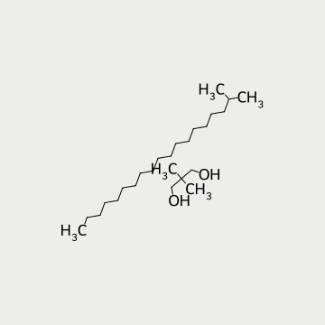 CC(C)(CO)CO.CCCCCCCCCCCCCCCCCC(C)C